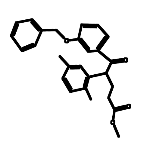 COC(=O)CCC(C(=O)c1cccc(OCc2ccccc2)c1)c1cc(C)ccc1C